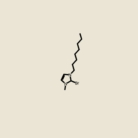 CCCCCCCCN1C=CN(C)C1Br